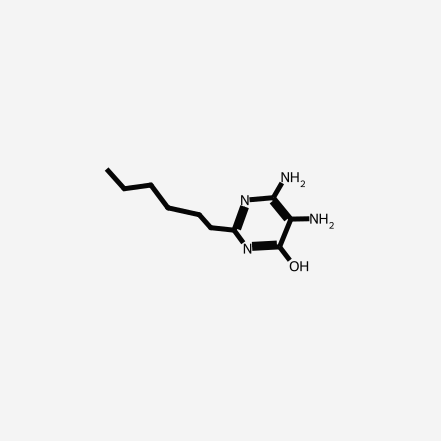 CCCCCCc1nc(N)c(N)c(O)n1